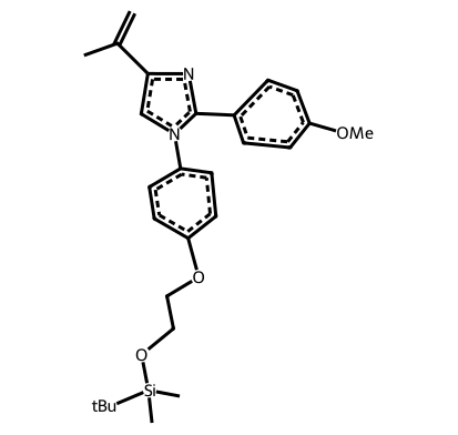 C=C(C)c1cn(-c2ccc(OCCO[Si](C)(C)C(C)(C)C)cc2)c(-c2ccc(OC)cc2)n1